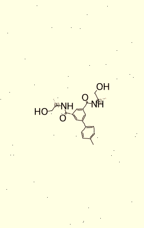 Cc1ccc(-c2cc(C(=O)N[C@@H](C)CO)cc(C(=O)N[C@@H](C)CO)c2)cc1